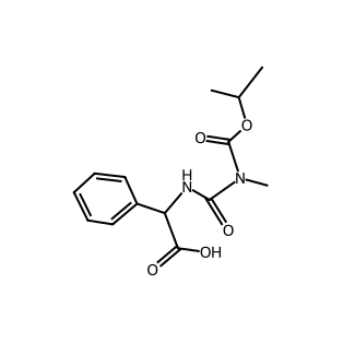 CC(C)OC(=O)N(C)C(=O)NC(C(=O)O)c1ccccc1